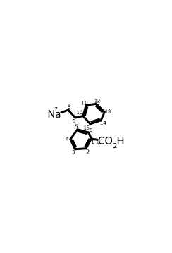 O=C(O)c1ccccc1.[Na][CH2]Cc1ccccc1